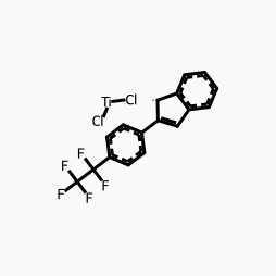 FC(F)(F)C(F)(F)c1ccc(C2=Cc3ccccc3[CH]2)cc1.[Cl][Ti][Cl]